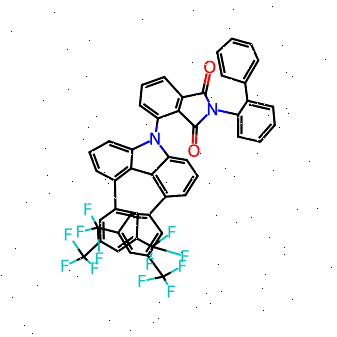 O=C1c2cccc(-n3c4cccc(-c5cc(C(F)(F)F)cc(C(F)(F)F)c5)c4c4c(-c5cc(C(F)(F)F)cc(C(F)(F)F)c5)cccc43)c2C(=O)N1c1ccccc1-c1ccccc1